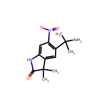 CC(C)([AsH2])c1cc2c(cc1[N+](=O)[O-])NC(=O)C2(C)C